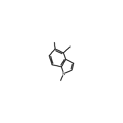 Cc1ccc2c(ccn2C)c1I